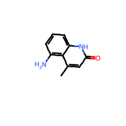 Cc1cc(=O)[nH]c2cccc(N)c12